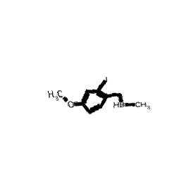 CBCc1ccc(OC)cc1I